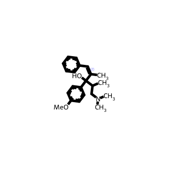 COc1ccc(C(O)(/C(C)=C\c2ccccc2)C(C)CN(C)C)cc1